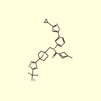 CC(F)(F)c1nc(C23CCC(CN(C(=O)C45CC(F)(C4)C5)c4cccc(-c5nc(C6CC6)no5)c4)(CC2)CC3)no1